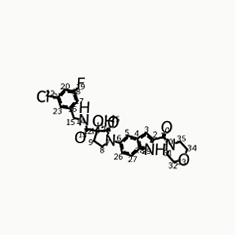 O=C(c1cc2cc(N3CC[C@](O)(C(=O)NCc4cc(F)cc(Cl)c4)C3=O)ccc2[nH]1)N1CCOCC1